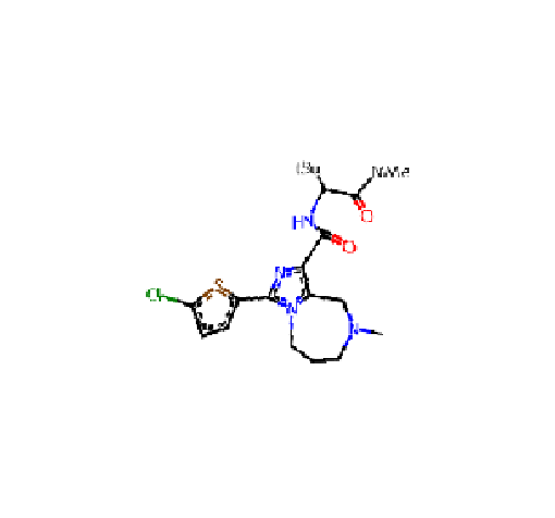 CNC(=O)C(NC(=O)c1nc(-c2ccc(Cl)s2)n2c1CN(C)CCC2)C(C)(C)C